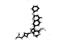 Cc1cc(Oc2ccccc2)nc2cc(-c3nn(C4CC(CN(C)C)C4)c4ncnc(N)c34)ccc12